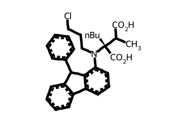 CCCC[C@](C(=O)O)(C(C)C(=O)O)N(CCCCl)c1cccc2c1C(c1ccccc1)c1ccccc1-2